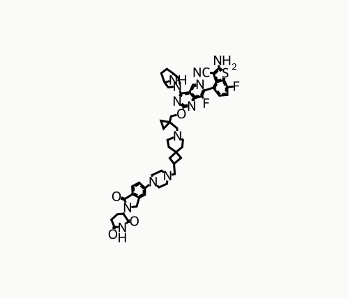 N#Cc1c(N)sc2c(F)ccc(-c3ncc4c(N5CC6CCC(C5)N6)nc(OCC5(CN6CCC7(CC6)CC(CN6CCN(c8ccc9c(c8)CN([C@H]8CCC(=O)NC8=O)C9=O)CC6)C7)CC5)nc4c3F)c12